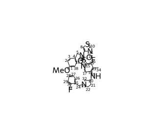 COc1ccc(CN(c2cscn2)S(=O)(=O)c2ncc(NC3CCN(Cc4ccccc4F)C3)c(C)c2F)cc1